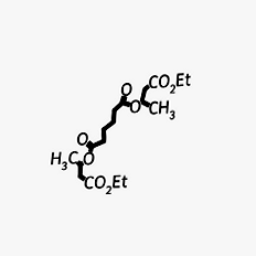 CCOC(=O)CC(C)OC(=O)CCCCC(=O)OC(C)CC(=O)OCC